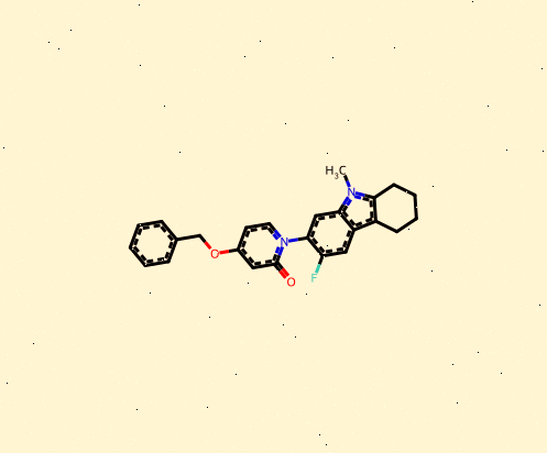 Cn1c2c(c3cc(F)c(-n4ccc(OCc5ccccc5)cc4=O)cc31)CCCC2